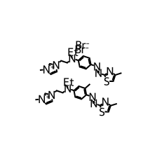 CCN(CCn1cc[n+](C)c1)c1ccc(N=Nc2nc(C)cs2)c(C)c1.CCN(CCn1cc[n+](C)c1)c1ccc(N=Nc2nc(C)cs2)cc1.[Br-].[Br-]